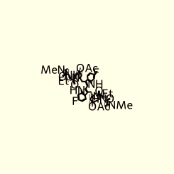 CC[C@H](NC(=O)[C@H](C)NC)C(=O)N1C[C@@H](OC(C)=O)CC1Cc1c(-c2[nH]c3cc(F)ccc3c2C[C@@H]2C[C@H](OC(C)=O)CN2C(=O)[C@H](CC)NC(=O)[C@H](C)NC)[nH]c2cc(F)ccc12